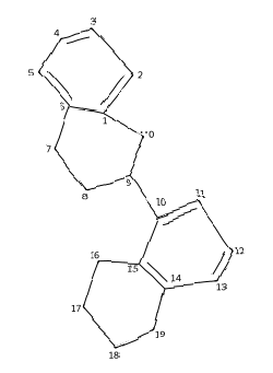 [C]1c2ccccc2CCC1c1cccc2c1CCCC2